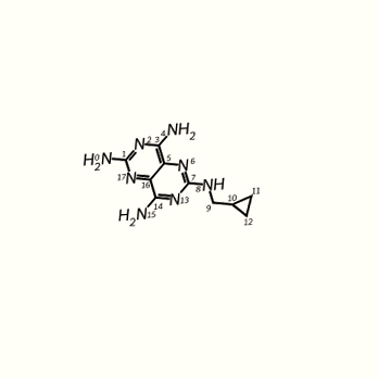 Nc1nc(N)c2nc(NCC3CC3)nc(N)c2n1